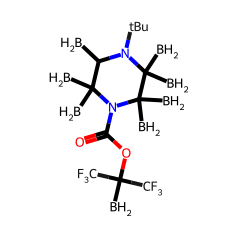 BC1N(C(C)(C)C)C(B)(B)C(B)(B)N(C(=O)OC(B)(C(F)(F)F)C(F)(F)F)C1(B)B